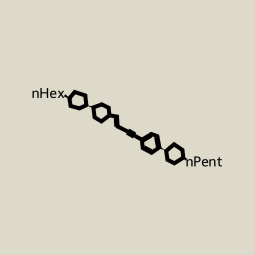 CCCCCC[C@H]1CC[C@H](C2CCC(/C=C/C#Cc3ccc([C@H]4CC[C@H](CCCCC)CC4)cc3)CC2)CC1